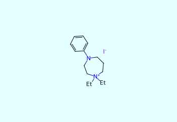 CC[N+]1(CC)CCCN(c2ccccc2)CC1.[I-]